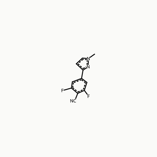 Cn1ccc(-c2cc(F)c(C#N)c(F)c2)n1